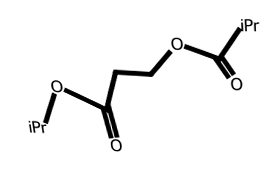 CC(C)OC(=O)CCOC(=O)C(C)C